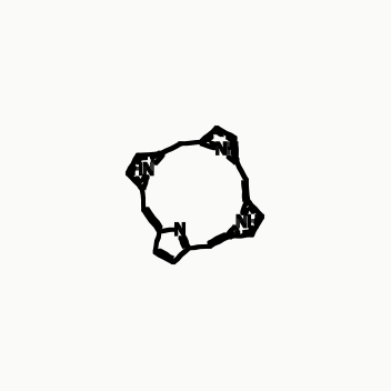 C1=CC2=NC1=Cc1ccc([nH]1)Cc1ccc([nH]1)C=c1ccc([nH]1)=C2